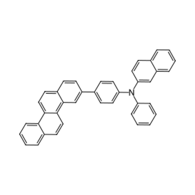 c1ccc(N(c2ccc(-c3ccc4ccc5c6ccccc6ccc5c4c3)cc2)c2ccc3ccccc3c2)cc1